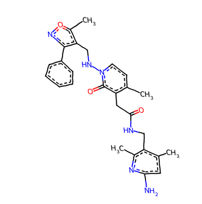 Cc1cc(N)nc(C)c1CNC(=O)Cc1c(C)ccn(NCc2c(-c3ccccc3)noc2C)c1=O